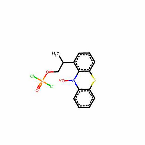 CC(COP(=O)(Cl)Cl)c1cccc2c1N(O)c1ccccc1S2